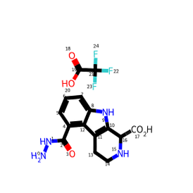 NNC(=O)c1cccc2[nH]c3c(c12)CCNC3C(=O)O.O=C(O)C(F)(F)F